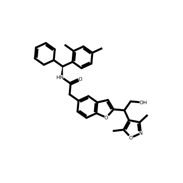 Cc1ccc([C@@H](NC(=O)Cc2ccc3oc(C(CO)c4c(C)noc4C)cc3c2)C2C=CC=CC2)c(C)c1